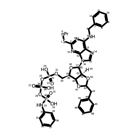 CCCSc1nc(NCc2ccccc2)c2ncn([C@@H]3O[C@H](COP(=O)(O)OP(=O)(O)OP(=O)(O)Nc4ccccc4)C4OC(Cc5ccccc5)O[C@@H]43)c2n1